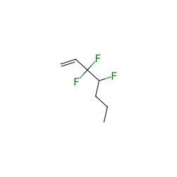 C=CC(F)(F)C(F)CCC